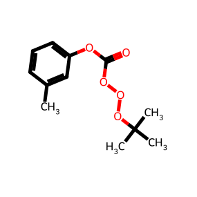 Cc1cccc(OC(=O)OOOC(C)(C)C)c1